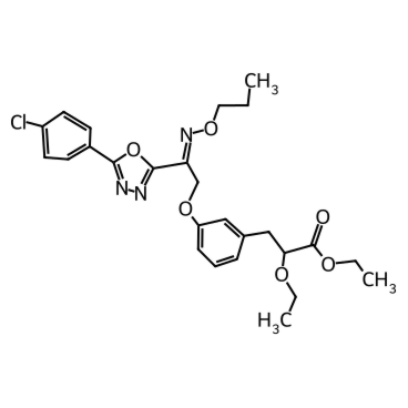 CCCO/N=C(\COc1cccc(CC(OCC)C(=O)OCC)c1)c1nnc(-c2ccc(Cl)cc2)o1